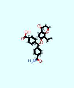 CC(C)c1c(O[C@@H](c2ccc(C(N)=O)cc2)c2ccc(C(=O)O)cc2)ccc2c1OCCC2=O